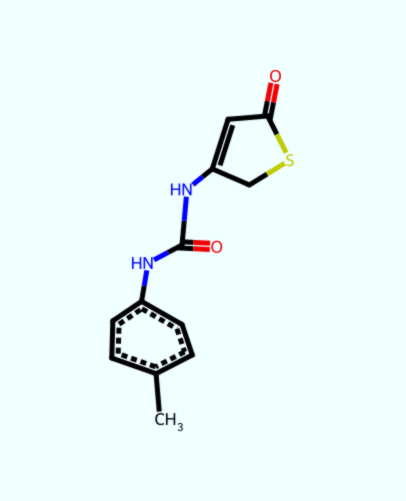 Cc1ccc(NC(=O)NC2=CC(=O)SC2)cc1